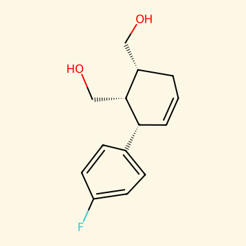 OC[C@@H]1CC=C[C@H](c2ccc(F)cc2)[C@@H]1CO